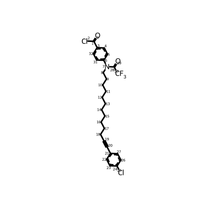 O=C(Cl)c1ccc(N(CCCCCCCCCCCC#Cc2ccc(Cl)cc2)C(=O)C(F)(F)F)cc1